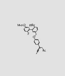 CC#C[C@H](CC(C)=O)c1ccc(OCc2ccc(C(C)(C)C)c(-c3cc(OC)ccc3F)c2)cc1